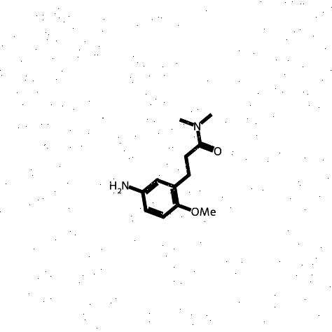 COc1ccc(N)cc1CCC(=O)N(C)C